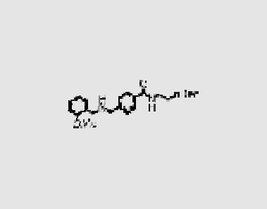 CCCCCCCCCCCCNC(=O)c1ccc(CNCc2ccccc2OC)cc1